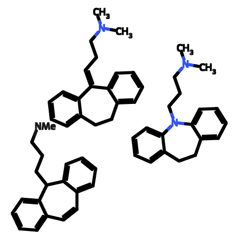 CN(C)CCC=C1c2ccccc2CCc2ccccc21.CN(C)CCCN1c2ccccc2CCc2ccccc21.CNCCCC1c2ccccc2C=Cc2ccccc21